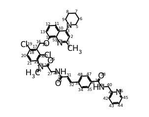 Cc1cc(N2CCCCC2)c2cccc(OCc3c(Cl)ccc(N(C)C(=O)CNC(=O)/C=C/c4ccc(C(=O)NCc5ccccn5)cc4)c3Cl)c2n1